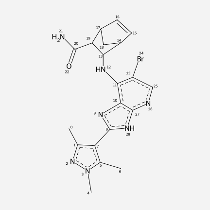 Cc1nn(C)c(C)c1-c1nc2c(NC3C4C=CC(C4)C3C(N)=O)c(Br)cnc2[nH]1